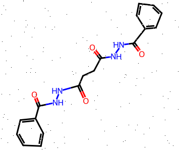 O=C(CCC(=O)NNC(=O)c1ccccc1)NNC(=O)c1ccccc1